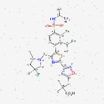 CCC(NS(=O)(=O)c1ccc(-c2sc(-c3noc(CC(C)(C)C(=O)O)n3)nc2CN2CC(F)(F)CC2C)c(C(F)F)c1F)C(F)(F)F